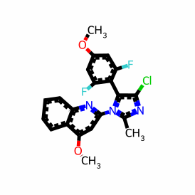 COc1cc(F)c(-c2c(Cl)nc(C)n2-c2cc(OC)c3ccccc3n2)c(F)c1